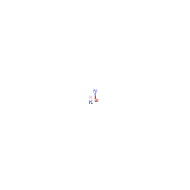 [B].[N].[N]Br